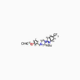 CCCC[C@H]1CN(Cc2cccc(OCC=O)c2)CCN1C1=Nc2ccc(C(F)(F)F)cc2C1